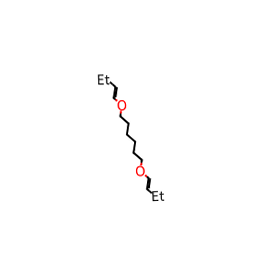 CCC=COCCCCCCOC=CCC